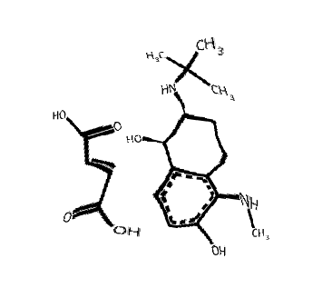 CNc1c(O)ccc2c1CC[C@H](NC(C)(C)C)[C@@H]2O.O=C(O)C=CC(=O)O